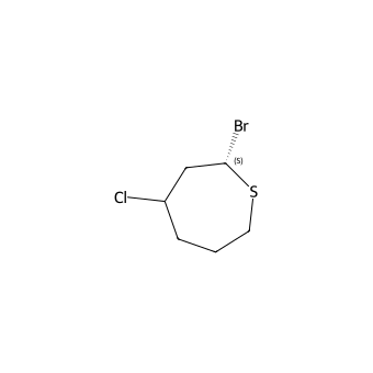 ClC1CCCS[C@@H](Br)C1